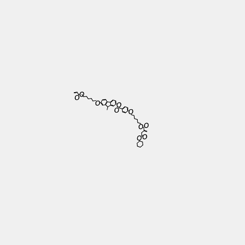 C=CC(=O)OCCCCCCOc1ccc2c(c1)C(C)c1cc(OC(=O)c3ccc(OCCCCCCOC(=O)C(=C)CC(=O)OC4CCCCC4)cc3)ccc1-2